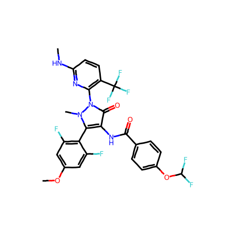 CNc1ccc(C(F)(F)F)c(-n2c(=O)c(NC(=O)c3ccc(OC(F)F)cc3)c(-c3c(F)cc(OC)cc3F)n2C)n1